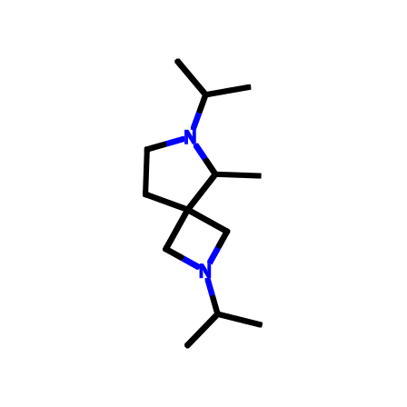 CC(C)N1CC2(CCN(C(C)C)C2C)C1